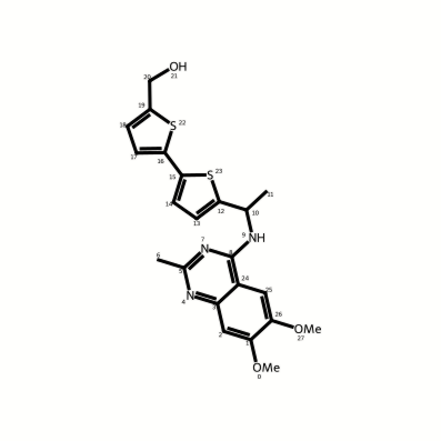 COc1cc2nc(C)nc(NC(C)c3ccc(-c4ccc(CO)s4)s3)c2cc1OC